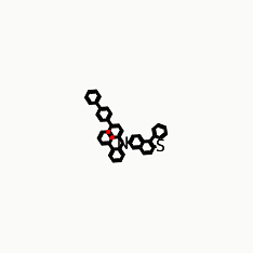 c1ccc(-c2ccc(-c3ccc(N(c4ccc5c(ccc6sc7ccccc7c65)c4)c4ccccc4-c4ccccc4)cc3)cc2)cc1